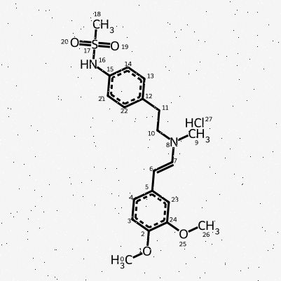 COc1ccc(C=CN(C)CCc2ccc(NS(C)(=O)=O)cc2)cc1OC.Cl